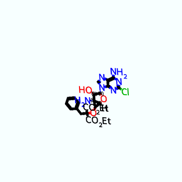 CCOC(=O)C(Cc1ccccc1)(OC1[C@H]2O[C@@H](n3cnc4c(N)nc(Cl)nc43)[C@H](O)[C@]12N)C(=O)OCC